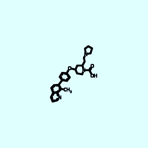 Cc1c(-c2ccc(OC3CCN(C(=O)O)C(CCN4CCCC4)C3)cc2)ccc2cccnc12